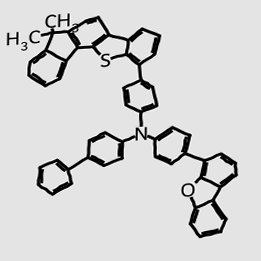 CC1(C)c2ccccc2-c2c1ccc1c2sc2c(-c3ccc(N(c4ccc(-c5ccccc5)cc4)c4ccc(-c5cccc6c5oc5ccccc56)cc4)cc3)cccc21